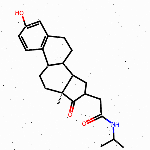 CC(C)NC(=O)CC1CC2C3CCc4cc(O)ccc4C3CC[C@]2(C)C1=O